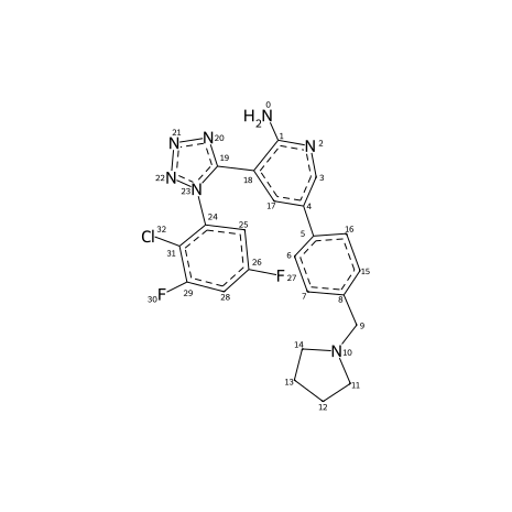 Nc1ncc(-c2ccc(CN3CCCC3)cc2)cc1-c1nnnn1-c1cc(F)cc(F)c1Cl